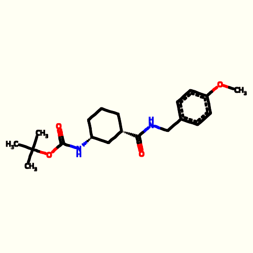 COc1ccc(CNC(=O)[C@H]2CCC[C@@H](NC(=O)OC(C)(C)C)C2)cc1